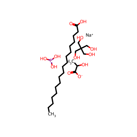 CC(O)C(=O)[O-].CCCCCCCCCCCCCCCCCC(=O)O.OCC(CO)(CO)CO.OP(O)O.[Na+]